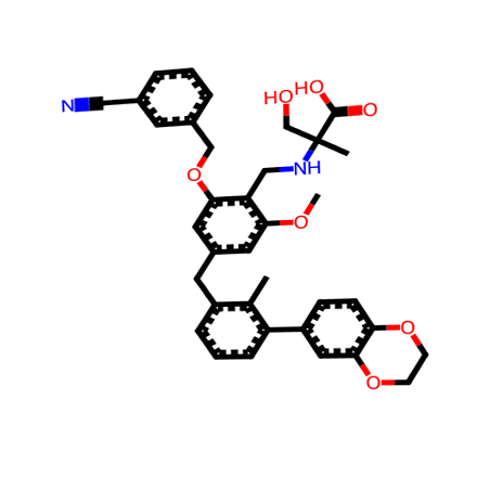 COc1cc(Cc2cccc(-c3ccc4c(c3)OCCO4)c2C)cc(OCc2cccc(C#N)c2)c1CNC(C)(CO)C(=O)O